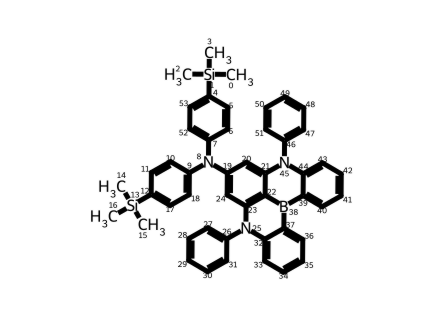 C[Si](C)(C)c1ccc(N(c2ccc([Si](C)(C)C)cc2)c2cc3c4c(c2)N(c2ccccc2)c2ccccc2B4c2ccccc2N3c2ccccc2)cc1